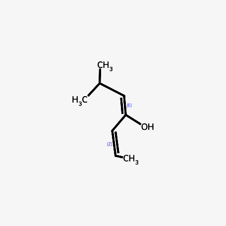 C/C=C\C(O)=C/C(C)C